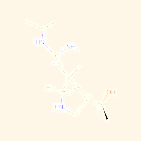 CC(C)N/C(N)=C/C1(C)C2[C@H]([C@H](C)O)CN[C@H]21